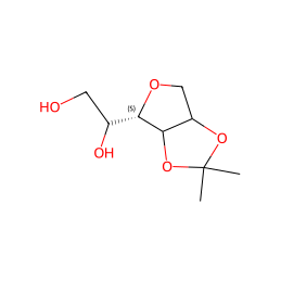 CC1(C)OC2CO[C@@H](C(O)CO)C2O1